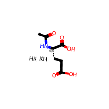 CC(=O)N[C@@H](CCC(=O)O)C(=O)O.[KH].[KH]